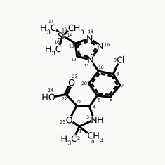 CC1(C)NC(c2ccc(Cl)c(-n3cc([Si](C)(C)C)nn3)c2)C(C(=O)O)O1